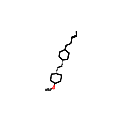 C/C=C/CC[C@H]1CC[C@H](CC[C@H]2CC[C@H](OCCCC)CC2)CC1